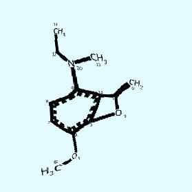 C=C1Oc2c(OC)ccc(N(C)CC)c21